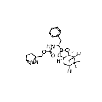 CC1(C)[C@@H]2C[C@H]3OB([C@H](Cc4ccccc4)NC(=O)OCC45CCC(CC4)N5)O[C@@]3(C)[C@H]1C2